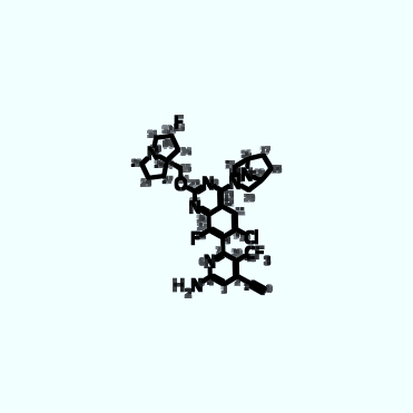 C#Cc1cc(N)nc(-c2c(Cl)cc3c(N4CC5CCC(C4)N5)nc(OC[C@@]45CCCN4C[C@H](F)C5)nc3c2F)c1C(F)(F)F